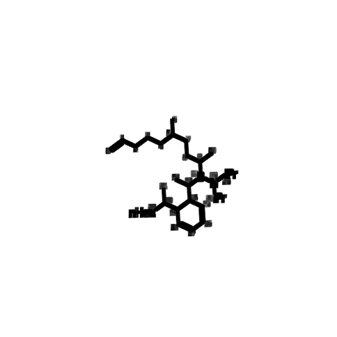 C=CCCCC(C)CCC(C)B(C(C)C1C=CC=CC1C(C)CCCCCC)N(C(C)C)C(C)C